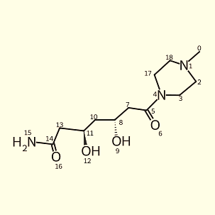 CN1CCN(C(=O)C[C@H](O)C[C@@H](O)CC(N)=O)CC1